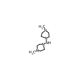 CN1CC[N]([AlH][N]2CCN(C)CC2)CC1